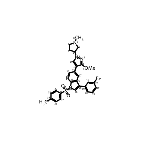 COc1nn(C2CCN(C)C2)cc1-c1cnc2c(c1)c(-c1cccc(F)c1)cn2S(=O)(=O)c1ccc(C)cc1